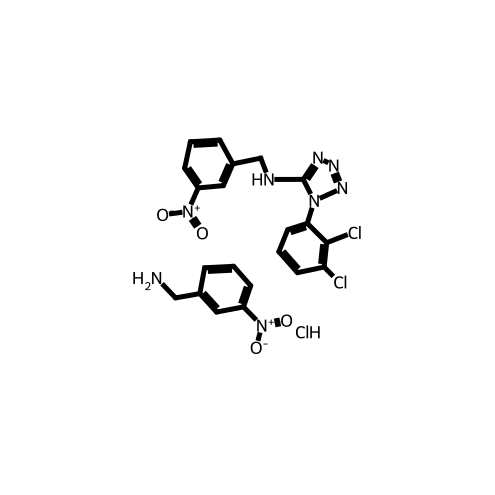 Cl.NCc1cccc([N+](=O)[O-])c1.O=[N+]([O-])c1cccc(CNc2nnnn2-c2cccc(Cl)c2Cl)c1